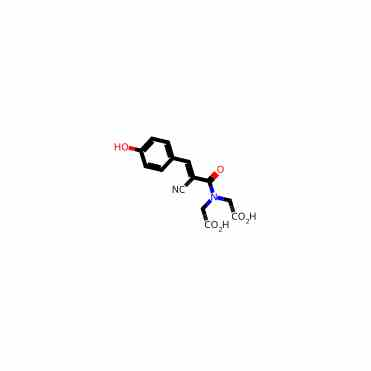 N#C/C(=C\c1ccc(O)cc1)C(=O)N(CC(=O)O)CC(=O)O